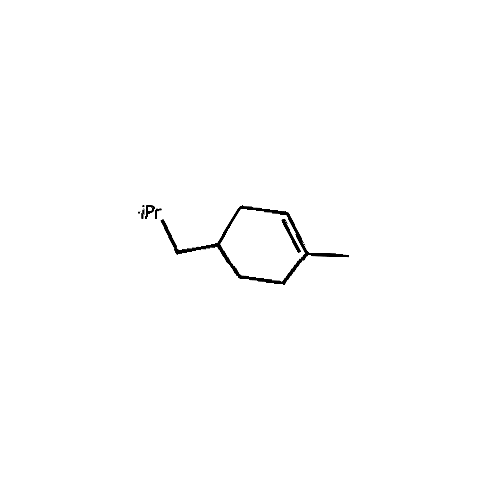 C[C](C)CC1CC=C(C)CC1